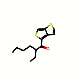 CCCCC(CC)C(=O)c1scc2sccc12